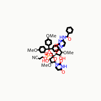 COc1ccc(C(OC[C@H]2O[C@@H](n3ccc(=O)[nH]c3=O)[C@H](OC)[C@@]2(O)P(=O)(OCCC#N)OC[C@H]2O[C@@H](n3ccc(NC(=O)c4ccccc4)nc3=O)[C@H](OC)[C@@H]2O)(c2ccccc2)c2ccc(OC)cc2)cc1